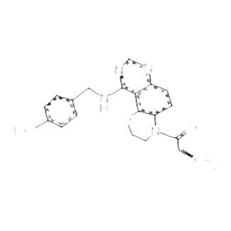 C=CC(=O)N1CCOc2c1ccc1ncnc(NCc3ccc(O)cc3)c21